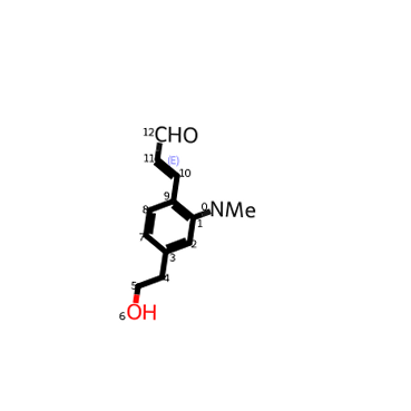 CNc1cc(CCO)ccc1/C=C/C=O